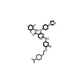 Cc1cccc(C)c1NC(=O)c1cnc(Nc2ccc(OCCN3CCN(C(C)C)CC3)c(F)c2)nc1Oc1ccc(-n2ccnc2)cc1